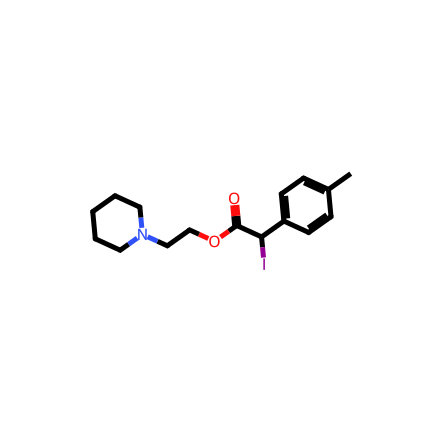 Cc1ccc(C(I)C(=O)OCCN2CCCCC2)cc1